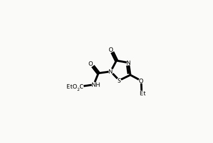 CCOC(=O)NC(=O)n1sc(OCC)nc1=O